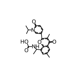 Cc1cc(C(C)NC(=O)O)c2oc(-c3ccc(=O)n(C(C)C)c3)c(C)c(=O)c2c1